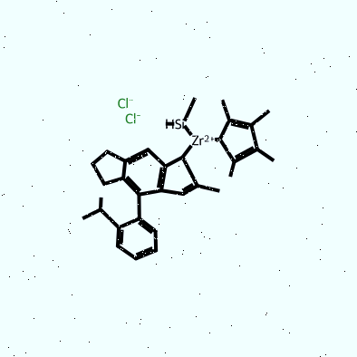 CC1=Cc2c(cc3c(c2-c2ccccc2C(C)C)CCC3)[CH]1[Zr+2]([CH]1C(C)=C(C)C(C)=C1C)[SiH](C)C.[Cl-].[Cl-]